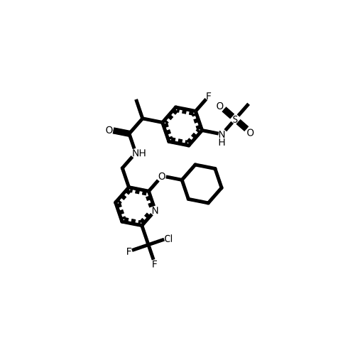 CC(C(=O)NCc1ccc(C(F)(F)Cl)nc1OC1CCCCC1)c1ccc(NS(C)(=O)=O)c(F)c1